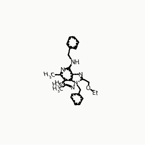 CCOCC1=Nc2c(NCc3ccccc3)nc(C)c(C)c2[N+]1(Cc1ccccc1)N=C(C)C